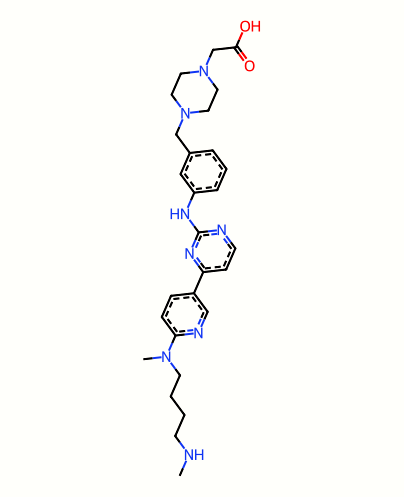 CNCCCCN(C)c1ccc(-c2ccnc(Nc3cccc(CN4CCN(CC(=O)O)CC4)c3)n2)cn1